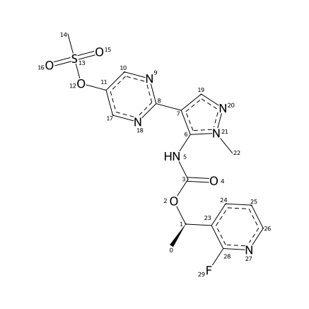 C[C@@H](OC(=O)Nc1c(-c2ncc(OS(C)(=O)=O)cn2)cnn1C)c1cccnc1F